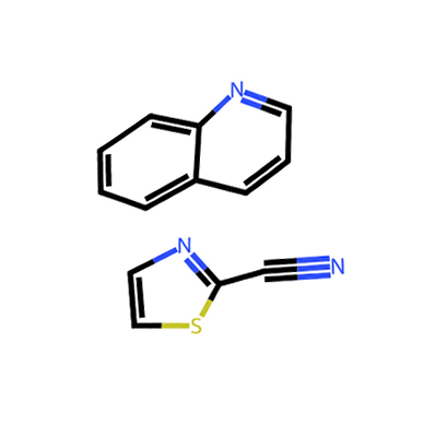 N#Cc1nccs1.c1ccc2ncccc2c1